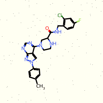 Cc1ccc(-n2cc3c(N4CCNC(C(=O)NCc5ccc(F)cc5Cl)C4)ncnc3n2)cc1